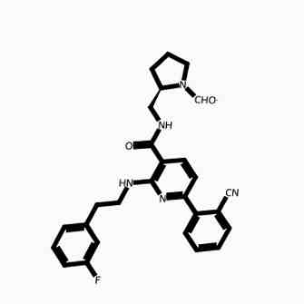 N#Cc1ccccc1-c1ccc(C(=O)NC[C@H]2CCCN2[C]=O)c(NCCc2cccc(F)c2)n1